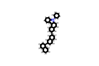 c1ccc(-n2c3ccccc3c3c4ccc(-c5ccc6ccc(-c7cccc8ccccc78)cc6c5)cc4ccc32)cc1